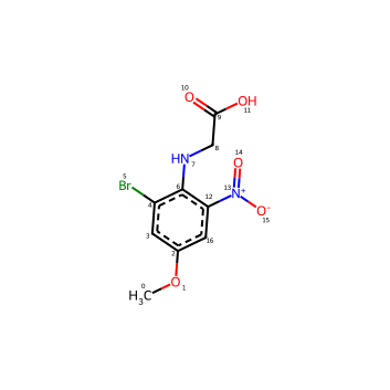 COc1cc(Br)c(NCC(=O)O)c([N+](=O)[O-])c1